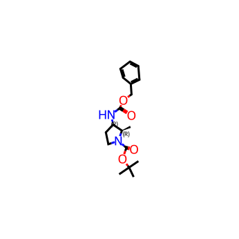 C[C@@H]1[C@H](NC(=O)OCc2ccccc2)CCN1C(=O)OC(C)(C)C